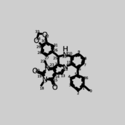 Cc1cccc(-c2cccc3c2-n2cc4c(=O)n(C)c(=O)n(C)c4c2C(c2ccc4c(c2)OCO4)N3)c1